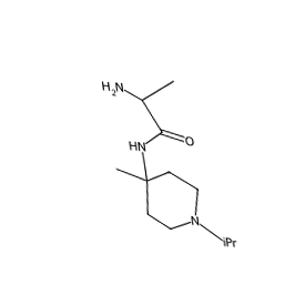 CC(N)C(=O)NC1(C)CCN(C(C)C)CC1